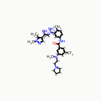 Cc1ccc(NC(=O)c2cc(N(C)CCN3CCCC3)cc(C(F)(F)F)c2)cc1N(N)/C=C(\N)c1cnn(C)c1C